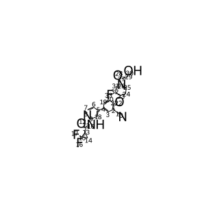 N#Cc1cc(-c2ccnc(NC(=O)C3CC3(F)F)c2)ccc1O[C@H]1CCN(C(=O)CO)C[C@H]1F